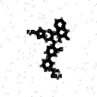 Cc1nc2ccccc2c(C(=O)N(Cc2ccc(C(F)(F)F)o2)Cc2ncc(-c3cccc(C(C)C(=O)O)c3)cc2Cl)c1C